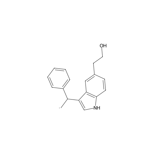 [CH2]C(c1ccccc1)c1c[nH]c2ccc(CCO)cc12